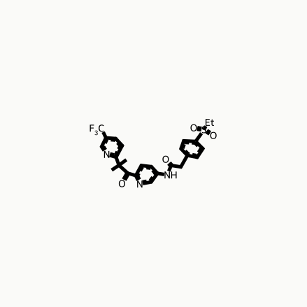 CCS(=O)(=O)c1ccc(CC(=O)Nc2ccc(C(=O)C(C)(C)c3ccc(C(F)(F)F)cn3)nc2)cc1